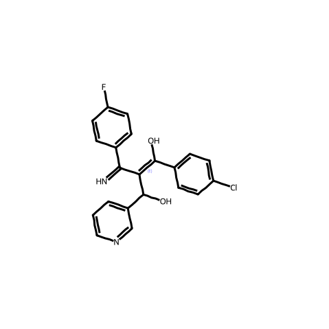 N=C(/C(=C(\O)c1ccc(Cl)cc1)C(O)c1cccnc1)c1ccc(F)cc1